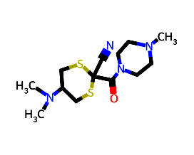 CN1CCN(C(=O)C2(C#N)SCC(N(C)C)CS2)CC1